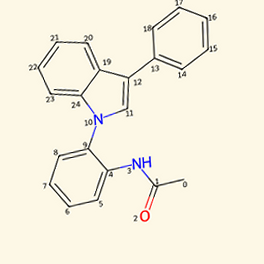 CC(=O)Nc1ccccc1-n1cc(-c2ccccc2)c2ccccc21